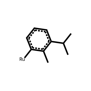 Cc1[c]([Ru])cccc1C(C)C